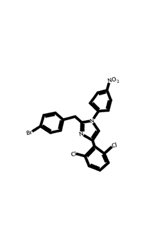 O=[N+]([O-])c1ccc(-n2cc(-c3c(Cl)cccc3Cl)nc2Cc2ccc(Br)cc2)cc1